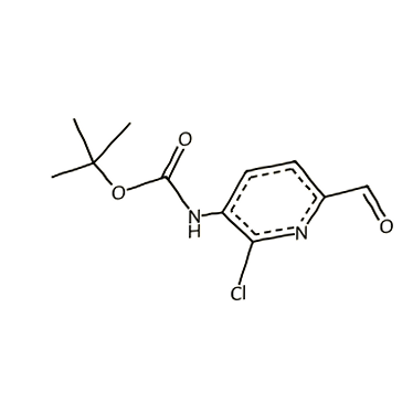 CC(C)(C)OC(=O)Nc1ccc(C=O)nc1Cl